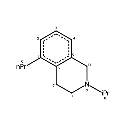 CCCc1cccc2c1CCN(C(C)C)C2